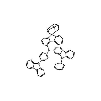 c1ccc(-n2c3ccccc3c3ccc(N(c4ccc(-n5c6ccccc6c6ccccc65)cc4)c4cccc5c4-c4ccccc4C54C5CC6CC(C5)CC4C6)cc32)cc1